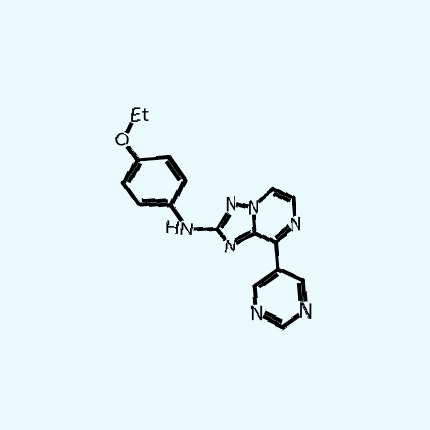 CCOc1ccc(Nc2nc3c(-c4cncnc4)nccn3n2)cc1